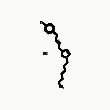 CCCCCCCN1C=CN(C/C=C/Cc2ccc(Cl)cc2)C1.Cl